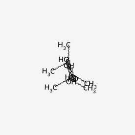 CCCCCCCCCCC(O)CN(CCN1CCN(CCN(CC(O)CCCCCCCCCC)CC(O)CCCCCCCCCC)CC1)CCN(CC(O)CCCCCCCCCC)CC(CCCCCCCCCC)N=O